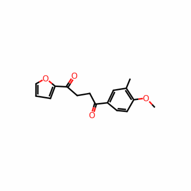 COc1ccc(C(=O)CCC(=O)c2ccco2)cc1C